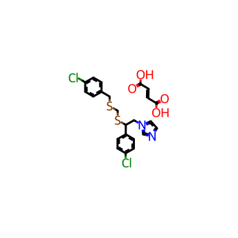 Clc1ccc(CSCSC(Cn2ccnc2)c2ccc(Cl)cc2)cc1.O=C(O)/C=C/C(=O)O